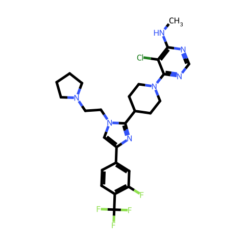 CNc1ncnc(N2CCC(c3nc(-c4ccc(C(F)(F)F)c(F)c4)cn3CCN3CCCC3)CC2)c1Cl